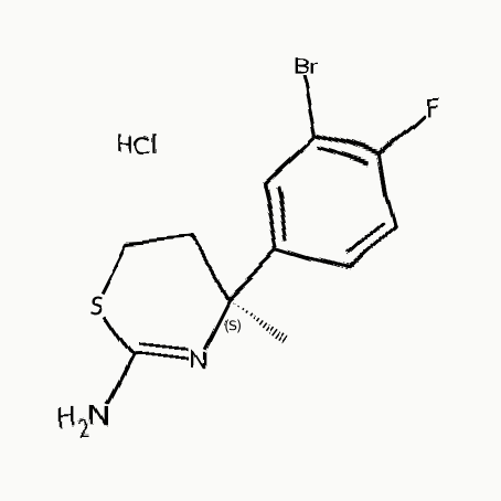 C[C@@]1(c2ccc(F)c(Br)c2)CCSC(N)=N1.Cl